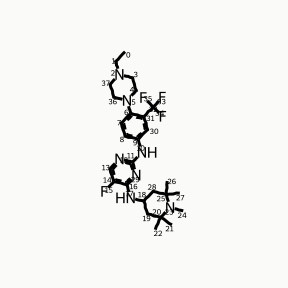 CCN1CCN(c2ccc(Nc3ncc(F)c(NC4CC(C)(C)N(C)C(C)(C)C4)n3)cc2C(F)(F)F)CC1